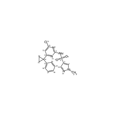 Cn1cc(S(=O)(=O)Nc2nc(Cl)cc(C3(c4ccccc4)CC3)n2)cn1